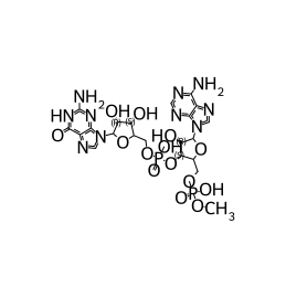 COP(=O)(O)OCC1OC(n2cnc3c(N)ncnc32)[C@H](O)[C@@H]1OP(=O)(O)OCC1OC(n2cnc3c(=O)[nH]c(N)nc32)[C@H](O)[C@@H]1O